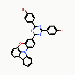 Brc1ccc(-c2nc(-c3ccc(Br)cc3)nc(-c3ccc4c(c3)Oc3cccc5c6ccccc6n-4c35)n2)cc1